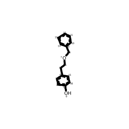 Oc1ccc(CCOCc2ccccc2)cc1